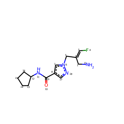 NC/C(=C\F)Cn1cc(C(=O)NC2CCCC2)cn1